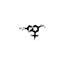 Bc1cc(C(F)(F)F)c2nc(C)cn2c1